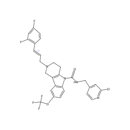 O=C(NCc1ccnc(Cl)c1)n1c2c(c3cc(OC(F)(F)F)ccc31)CN(C/C=C/c1ccc(F)cc1F)CC2